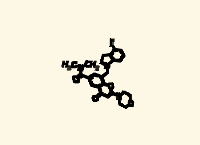 CN(C)C(=O)c1cc(CN2CCc3c(F)cccc32)c2oc(N3CCOCC3)cc(=O)c2c1